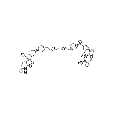 CNc1nc(Nc2ccc(C(=O)N3CCN(CCOCCOCCN4CCN(c5ccc6c(c5)C(=O)N(C5CCC(=O)NC5=O)C6=O)CC4)CC3)cc2OC)ncc1Cl